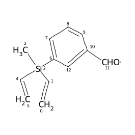 C=C[Si](C)(C=C)c1cccc([C]=O)c1